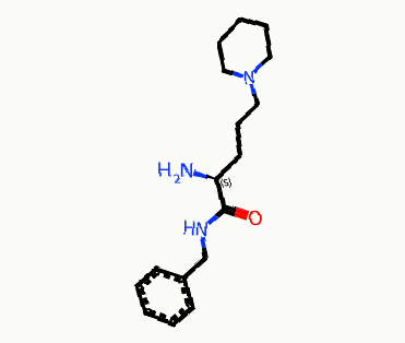 N[C@@H](CCCN1CCCCC1)C(=O)NCc1ccccc1